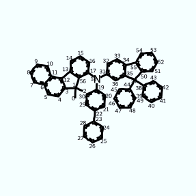 CC1(C)c2ccc3ccccc3c2-c2cccc(N(c3ccc(-c4ccccc4)cc3)c3ccc4c(c3)C(c3ccccc3)(c3ccccc3)c3ccccc3-4)c21